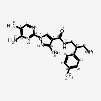 Cc1cnc(-n2cc(C(=O)NCC(CC(C)C)c3ccc(C(F)(F)F)cc3)c(C(C)(C)C)n2)nc1N